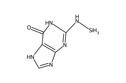 O=c1[nH]c(N[SiH3])nc2nc[nH]c12